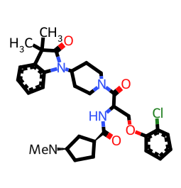 CN[C@@H]1CC[C@H](C(=O)NC(COc2ccccc2Cl)C(=O)N2CCC(N3C(=O)C(C)(C)c4ccccc43)CC2)C1